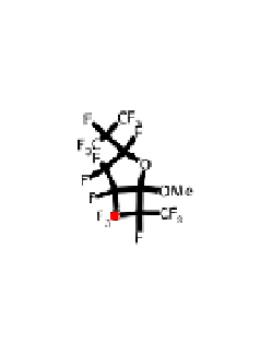 COC1(C(F)(C(F)(F)F)C(F)(F)F)OC(F)(C(F)(C(F)(F)F)C(F)(F)F)C(F)(F)C1(F)F